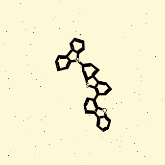 c1ccc2c(c1)oc1c(-c3cccc4c3sc3cc(-n5c6ccccc6c6ccccc65)ccc34)cccc12